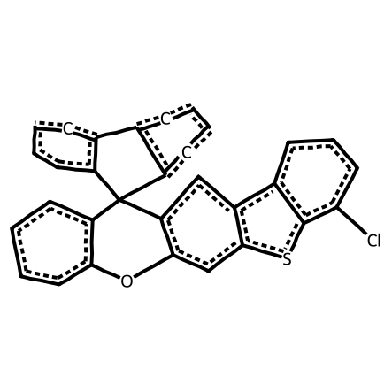 Clc1cccc2c1sc1cc3c(cc12)C1(c2ccccc2O3)c2ccccc2-c2ccccc21